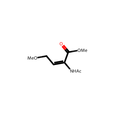 COCC=C(NC(C)=O)C(=O)OC